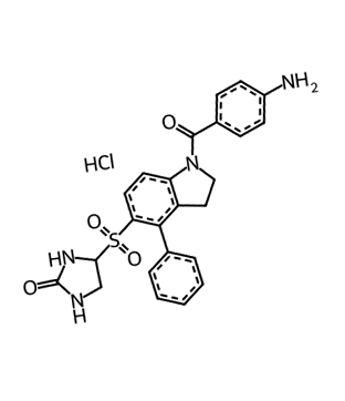 Cl.Nc1ccc(C(=O)N2CCc3c2ccc(S(=O)(=O)C2CNC(=O)N2)c3-c2ccccc2)cc1